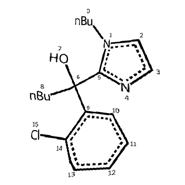 CCCCn1ccnc1C(O)(CCCC)c1ccccc1Cl